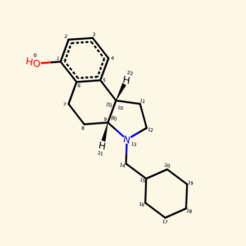 Oc1cccc2c1CC[C@@H]1[C@H]2CCN1CC1CCCCC1